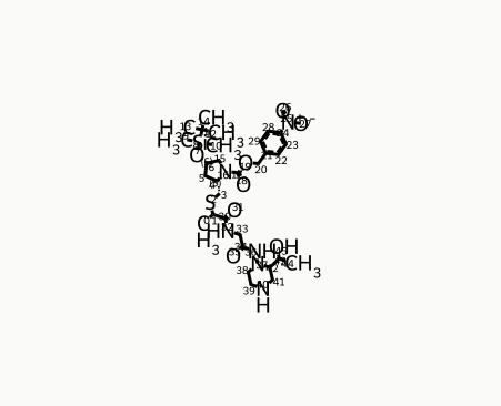 CC(SC[C@@H]1C[C@H](O[Si](C)(C)C(C)(C)C)CN1C(=O)OCc1ccc([N+](=O)[O-])cc1)C(=O)NCC(=O)NN1CCNCC1C(C)O